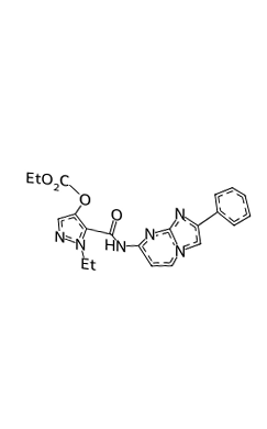 CCOC(=O)Oc1cnn(CC)c1C(=O)Nc1ccn2cc(-c3ccccc3)nc2n1